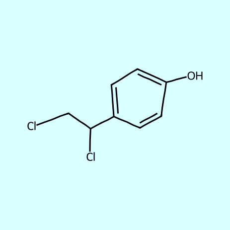 Oc1ccc(C(Cl)CCl)cc1